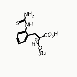 CC(C)(C)ON[C@@H](Cc1ccccc1NC(N)=S)C(=O)O